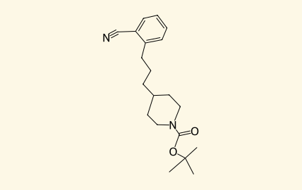 CC(C)(C)OC(=O)N1CCC(CCCc2ccccc2C#N)CC1